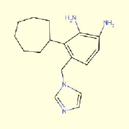 Nc1ccc(Cn2ccnc2)c(C2CCCCCC2)c1N